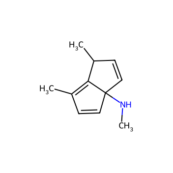 CNC12C=CC(C)=C1C(C)C=C2